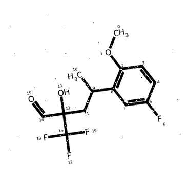 COc1ccc(F)cc1C(C)CC(O)(C=O)C(F)(F)F